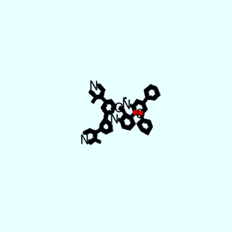 Cc1cnccc1-c1ccc2c(c1)c1cc(-c3ccncc3C)ccc1n2-c1cccc(C=O)c1C(=O)N(C)c1cc(-c2ccccc2)cc(-c2ccccc2)c1